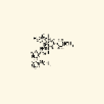 COc1ccncc1-c1cc(C(=O)/N=c2\[nH]c3cc(C4CCN(C)CC4)ccc3n2CC(C)(C)O)ccn1